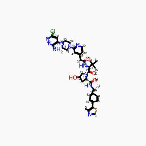 Cc1ncsc1-c1ccc([C@@H](C)NC(=O)[C@@H]2C[C@@H](O)CN2C(=O)C(NC(=O)Cc2ccnc(N3CCN(c4cc(Cl)nnc4N)CC3)c2)C(C)(C)C)cc1